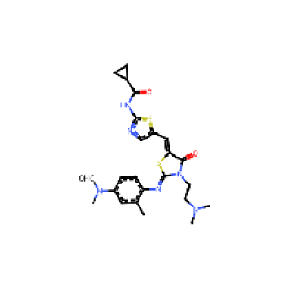 Cc1cc(N(C)C=O)ccc1/N=C1\S/C(=C\c2cnc(NC(=O)C3CC3)s2)C(=O)N1CCN(C)C